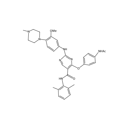 COc1cc(Nc2ncc(C(=O)Nc3c(C)cccc3C)c(Oc3ccc(NC(C)=O)cc3)n2)ccc1N1CCN(C)CC1